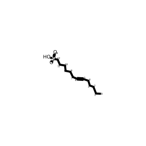 CCCCCC#CCCCCCCS(=O)(=O)O